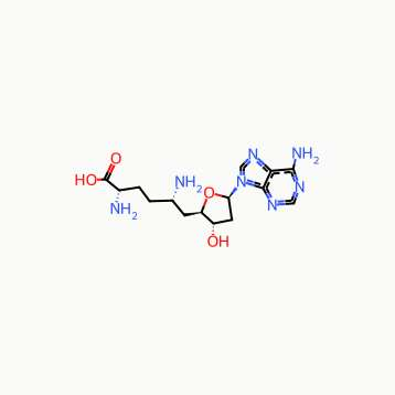 Nc1ncnc2c1ncn2[C@H]1C[C@H](O)[C@@H](C[C@@H](N)CC[C@H](N)C(=O)O)O1